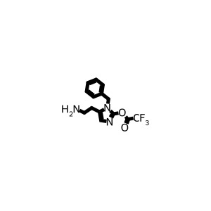 NCCc1cnc(OC(=O)C(F)(F)F)n1Cc1ccccc1